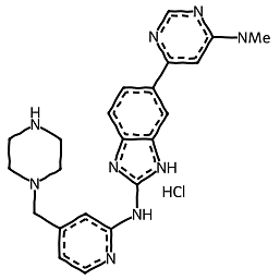 CNc1cc(-c2ccc3nc(Nc4cc(CN5CCNCC5)ccn4)[nH]c3c2)ncn1.Cl